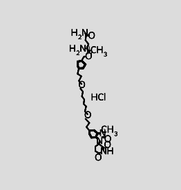 C[C@@H](OCc1ccc(CCCOCCCCCCCOCCCc2ccc3c(c2)n(C)c(=O)n3C2CCC(=O)NC2=O)cc1)[C@@H](N)CCC(N)=O.Cl